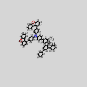 CC1(C)c2ccc(-c3ccc(N(c4ccc(-c5cccc6oc7ccccc7c56)cc4)c4ccc(-c5cccc6oc7ccccc7c56)cc4)cc3)cc2-c2cc(-c3ccccc3)cc(-c3ccccc3)c21